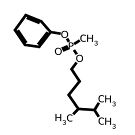 CC(C)C(C)CCCOP(C)(=O)Oc1ccccc1